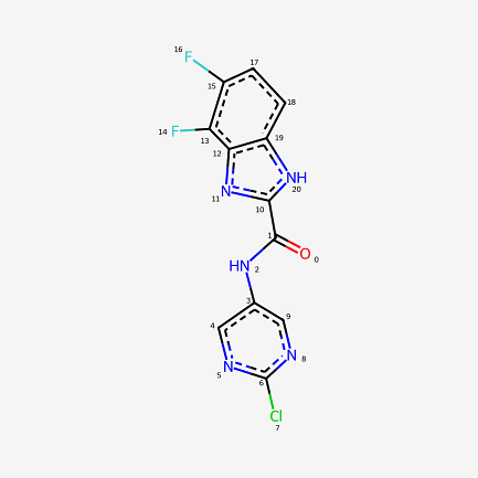 O=C(Nc1cnc(Cl)nc1)c1nc2c(F)c(F)ccc2[nH]1